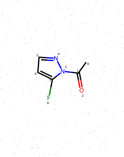 CC(=O)n1nccc1F